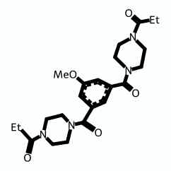 CCC(=O)N1CCN(C(=O)c2cc(OC)cc(C(=O)N3CCN(C(=O)CC)CC3)c2)CC1